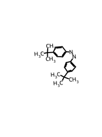 CC(C)(C)c1ccc(/N=N\c2ccc(C(C)(C)C)cc2)cc1